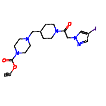 CC(C)(C)OC(=O)N1CCN(CC2CCN(C(=O)Cn3cc(I)cn3)CC2)CC1